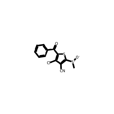 C[S+]([O-])c1sc(C(=O)c2ccccc2)c(Cl)c1C#N